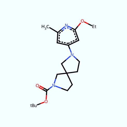 CCOc1cc(N2CCC3(CCN(C(=O)OC(C)(C)C)C3)C2)cc(C)n1